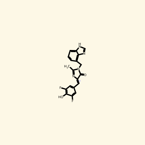 CC1=N/C(=C\c2cc(F)c(O)c(F)c2)C(=O)N1Cc1cccc2[nH]cnc12